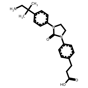 CC(C)(CN)c1ccc(N2CCN(c3ccc(CCC(=O)O)cc3)C2=O)cc1